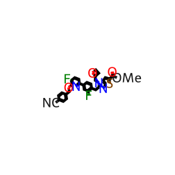 COC(=O)c1cc2c(nc(Cc3ccc(-c4ccc(F)c(OCc5ccc(C#N)cc5)n4)cc3F)n2CC2CCO2)s1